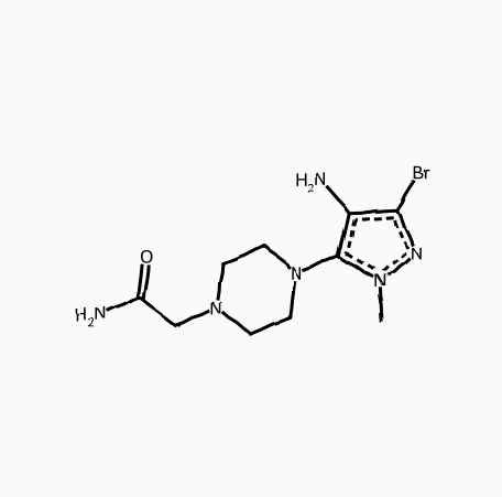 Cn1nc(Br)c(N)c1N1CCN(CC(N)=O)CC1